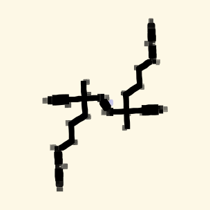 CC(C#N)(CCCN=C=O)/N=N/C(C)(C#N)CCCN=C=O